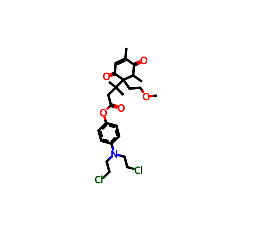 COCCC1(C(C)(C)CC(=O)Oc2ccc(N(CCCl)CCCl)cc2)C(=O)C=C(C)C(=O)C1C